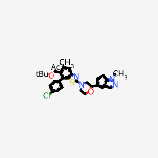 CC(=O)[C@@H](OC(C)(C)C)c1c(C)cc2nc(N3CCOC(c4ccc5c(cnn5C)c4)C3)sc2c1-c1ccc(Cl)cc1